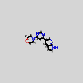 c1nc(-c2cnc3[nH]ccc3c2)cc(N2CCOCC2)n1